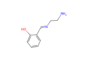 NCCN=Cc1ccccc1O